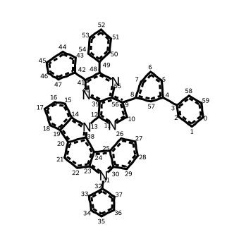 c1ccc(-c2cccc(-c3cnc(-n4c5ccccc5c5ccc6c(c7ccccc7n6-c6ccccc6)c54)c4nc(-c5ccccc5)c(-c5ccccc5)nc34)c2)cc1